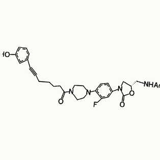 CC(=O)NC[C@H]1CN(c2ccc(N3CCN(C(=O)CCCCC#Cc4cccc(O)c4)CC3)c(F)c2)C(=O)O1